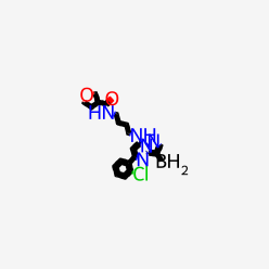 Bc1cnn2c(NCCCCNC(=O)C3CCOC3)cc(-c3ccccc3Cl)nc12